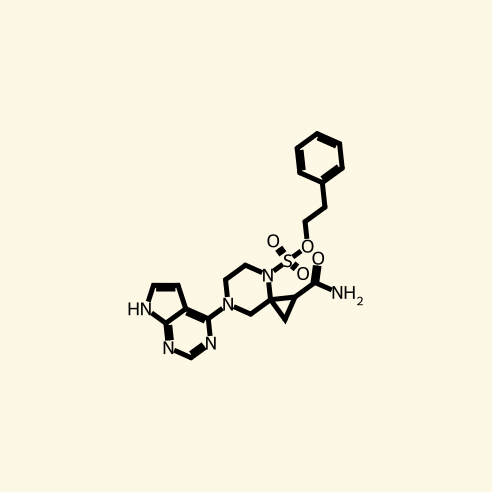 NC(=O)C1CC12CN(c1ncnc3[nH]ccc13)CCN2S(=O)(=O)OCCc1ccccc1